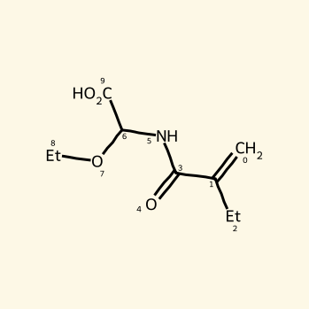 C=C(CC)C(=O)NC(OCC)C(=O)O